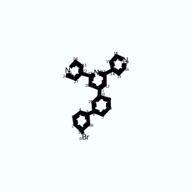 Brc1cccc(-c2cccc(-c3cc(-c4ccncc4)nc(-c4ccncc4)c3)c2)c1